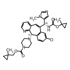 Cn1cncc1[C@H](NC(=O)OC1(C)CC1)C1=Cc2cccnc2[C@@H](N2CCN(C(=O)OCC3(C)CC3)CC2)c2ccc(Cl)cc21